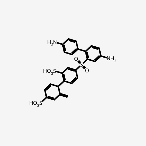 C=C1C=C(S(=O)(=O)O)C=CC1c1ccc(S(=O)(=O)c2cc(N)ccc2-c2ccc(N)cc2)cc1S(=O)(=O)O